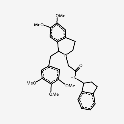 COc1cc2c(cc1OC)C(Cc1cc(OC)c(OC)c(OC)c1)N(CC(=O)NC1CCc3ccccc31)CC2